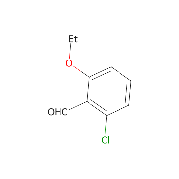 CCOc1cccc(Cl)c1C=O